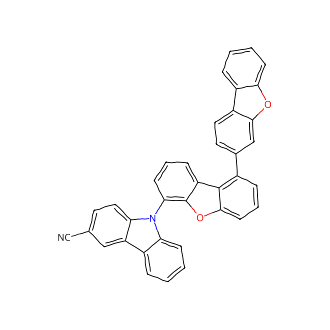 N#Cc1ccc2c(c1)c1ccccc1n2-c1cccc2c1oc1cccc(-c3ccc4c(c3)oc3ccccc34)c12